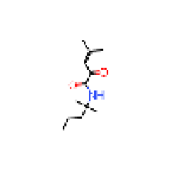 CCCC(C)(C)NC(=O)C(=O)C=C(C)C